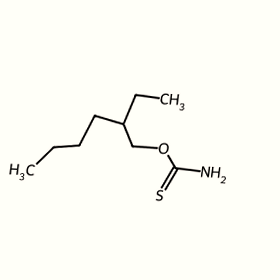 CCCCC(CC)COC(N)=S